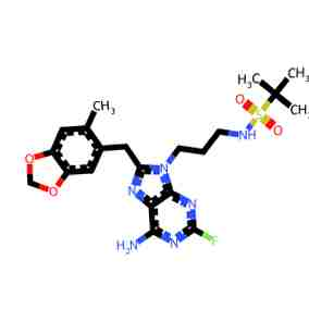 Cc1cc2c(cc1Cc1nc3c(N)nc(F)nc3n1CCCNS(=O)(=O)C(C)(C)C)OCO2